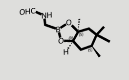 C[C@H]1C[C@H]2OB(CNC=O)O[C@@]2(C)CC1(C)C